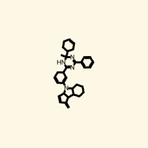 C=C1C=CC2C1C1CCCCC1N2C1=CC(C2=NC(c3ccccc3)=NC(C)(C3CC=CCC3)N2)CC=C1